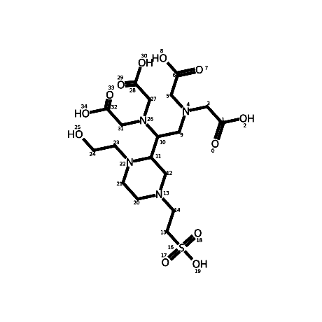 O=C(O)CN(CC(=O)O)CC(C1CN(CCS(=O)(=O)O)CCN1CCO)N(CC(=O)O)CC(=O)O